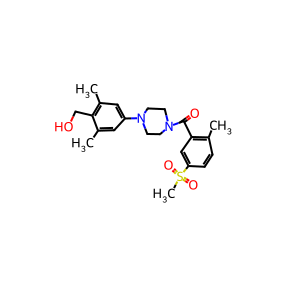 Cc1ccc(S(C)(=O)=O)cc1C(=O)N1CCN(c2cc(C)c(CO)c(C)c2)CC1